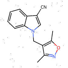 Cc1noc(C)c1Cn1cc(C#N)c2ccccc21